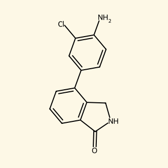 Nc1ccc(-c2cccc3c2CNC3=O)cc1Cl